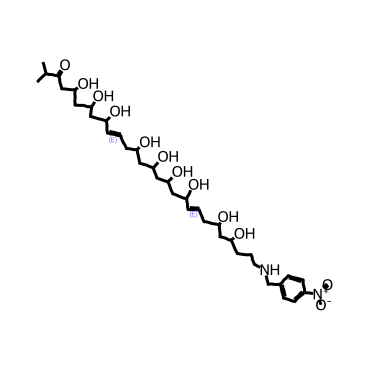 CC(C)C(=O)CC(O)CC(O)CC(O)/C=C/CC(O)CC(O)CC(O)CC(O)/C=C/CC(O)CC(O)CCCNCc1ccc([N+](=O)[O-])cc1